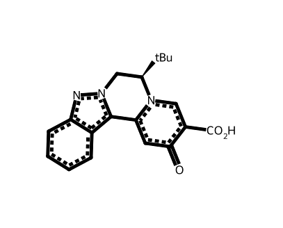 CC(C)(C)[C@@H]1Cn2nc3ccccc3c2-c2cc(=O)c(C(=O)O)cn21